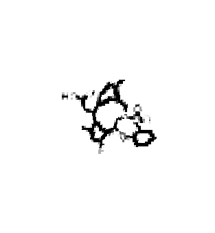 Cc1ccc2cc1CN1C[C@H](Oc3ccccc3S1(=O)=O)c1cc(c(C)cc1F)C2CC(=O)O